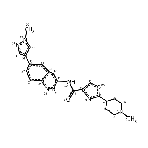 CN1CCC(c2nc(C(=O)Nc3cc4cc(-c5cnn(C)c5)ccc4nn3)co2)CC1